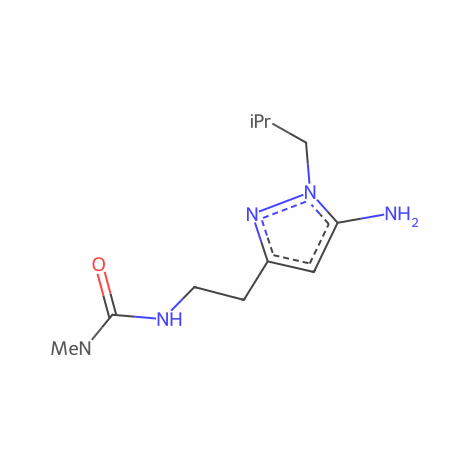 CNC(=O)NCCc1cc(N)n(CC(C)C)n1